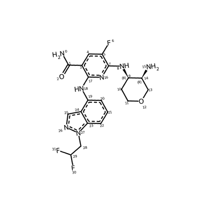 NC(=O)c1cc(F)c(N[C@@H]2CCOC[C@@H]2N)nc1Nc1cccc2c1cnn2CC(F)F